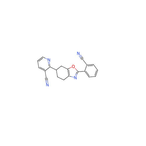 N#Cc1ccccc1-c1nc2c(o1)CC(c1ncccc1C#N)CC2